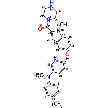 CN(c1ccc(C(F)(F)F)cc1)c1ccc(Oc2ccc3c(c2)cc(C(=O)N2CCNCC2)n3C)nc1